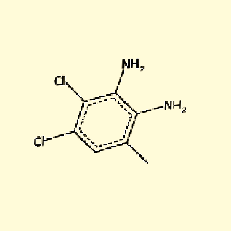 Cc1cc(Cl)c(Cl)c(N)c1N